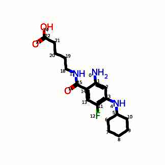 Nc1cc(NC2CCCCC2)c(F)cc1C(=O)NCCCCC(=O)O